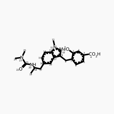 COc1cc(C(=O)O)ccc1Cc1cn(C)c2ccc(CC(C)NC(=O)N(C)C)cc12